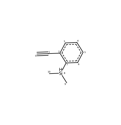 C#Cc1ccccc1[SiH](C)C